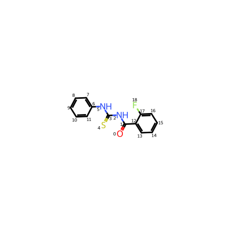 O=C(NC(=S)Nc1ccccc1)c1ccccc1F